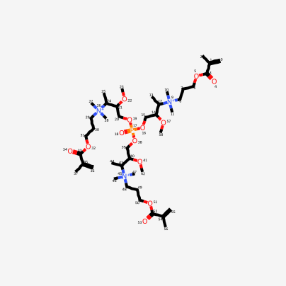 C=C(C)C(=O)OCCC[N+](C)(C)C(C)C(COP(=O)(OCC(OC)C(C)[N+](C)(C)CCCOC(=O)C(=C)C)OCC(OC)C(C)[N+](C)(C)CCCOC(=O)C(=C)C)OC